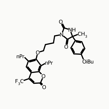 CCCc1cc2c(C(F)(F)F)cc(=O)oc2c(CCC)c1OCCCCN1C(=O)NC(C)(c2ccc(OCC(C)C)cc2)C1=O